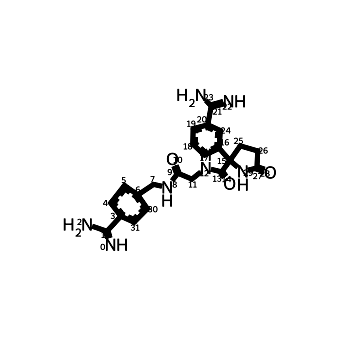 N=C(N)c1ccc(CNC(=O)CNC(=O)C2(c3cccc(C(=N)N)c3)CCC(=O)N2)cc1